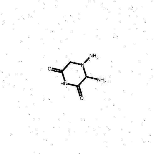 NC1C(=O)NC(=O)CN1N